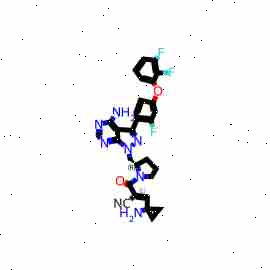 N#C/C(=C\C1(N)CC1)C(=O)N1CCC[C@@H]1Cn1nc(-c2ccc(Oc3cccc(F)c3F)cc2F)c2c(N)ncnc21